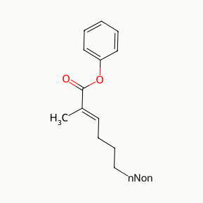 CCCCCCCCCCCCC=C(C)C(=O)Oc1ccccc1